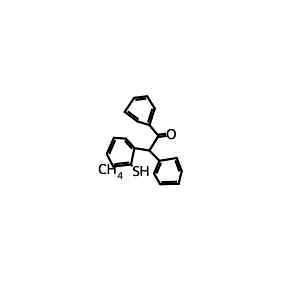 C.O=C(c1ccccc1)C(c1ccccc1)c1ccccc1S